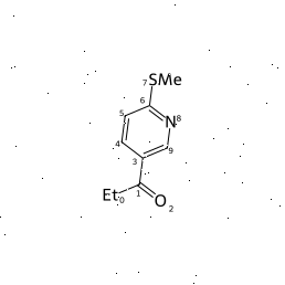 CCC(=O)c1ccc(SC)nc1